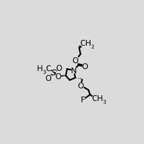 C=CCOC(=O)N1C[C@H](OS(C)(=O)=O)C[C@H]1COCC(C)F